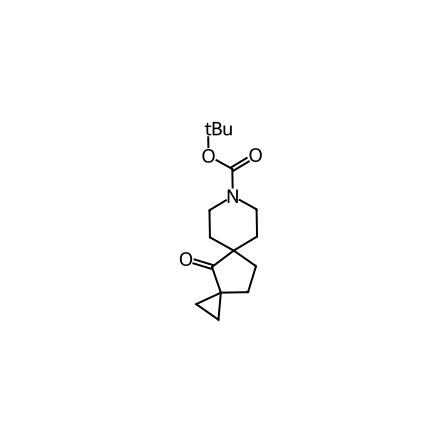 CC(C)(C)OC(=O)N1CCC2(CC1)CCC1(CC1)C2=O